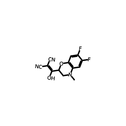 CN1CC(C(O)=C(C#N)C#N)Oc2cc(F)c(F)cc21